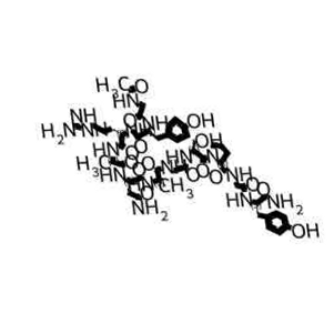 CC(=O)NCC(=O)N[C@@H](Cc1ccc(O)cc1)C(=O)N[C@@H](CCCNC(=N)N)C(=O)N[C@@H](C)C(=O)N[C@@H](CC(N)=O)C(=O)N[C@@H](C)C(=O)NCC(=O)N[C@@H](CO)C(=O)N1CCC[C@H]1C(=O)NCC(=O)N[C@@H](Cc1ccc(O)cc1)C(N)=O